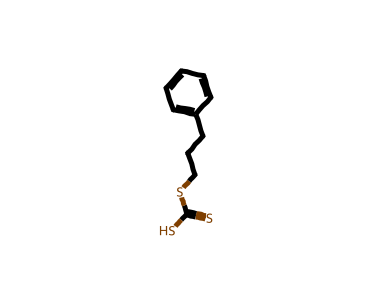 S=C(S)SCCCc1ccccc1